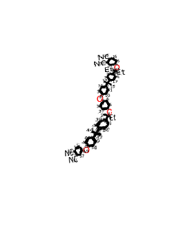 CCC(C)(Oc1ccc(Oc2ccc(C(C)(C)c3ccc(C(CC)(CC)Oc4ccc(C#N)c(C#N)c4)cc3)cc2)cc1)c1ccc(C(C)(C)c2ccc(Oc3ccc(C#N)c(C#N)c3)cc2)cc1